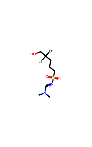 CCC(CC)(CO)CCCS(=O)(=O)/N=C/N(C)C